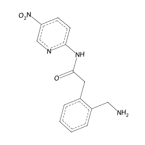 NCc1ccccc1CC(=O)Nc1ccc([N+](=O)[O-])cn1